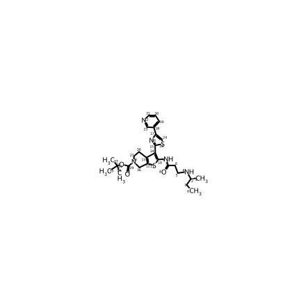 CC[C@H](C)NCCC(=O)Nc1sc2c(c1-c1nc(-c3cccnc3)cs1)CCN(C(=O)OC(C)(C)C)C2